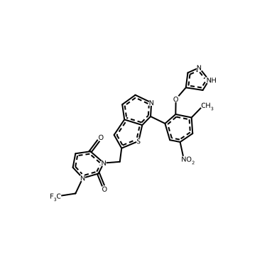 Cc1cc([N+](=O)[O-])cc(-c2nccc3cc(Cn4c(=O)ccn(CC(F)(F)F)c4=O)sc23)c1Oc1cn[nH]c1